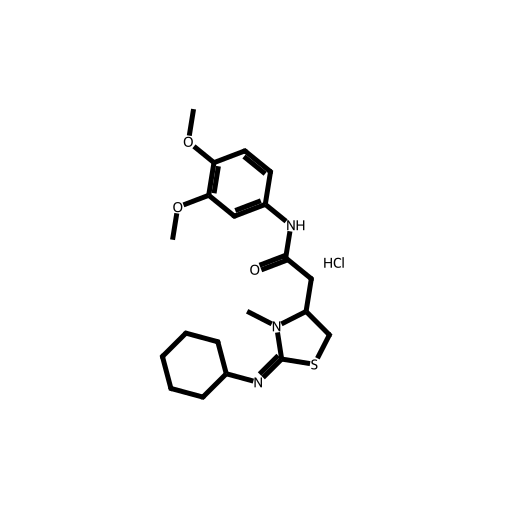 COc1ccc(NC(=O)CC2CSC(=NC3CCCCC3)N2C)cc1OC.Cl